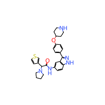 O=C(Nc1ccc2[nH]nc(-c3ccc(OC4CCNCC4)cc3)c2c1)C(c1ccsc1)N1CCCC1